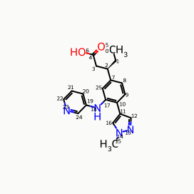 CC[C@H](CC(=O)O)c1ccc(-c2cnn(C)c2)c(Nc2cccnc2)c1